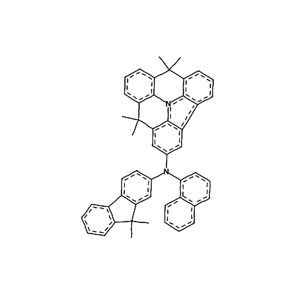 CC1(C)c2ccccc2-c2ccc(N(c3cc4c5c(c3)c3cccc6c3n5-c3c(cccc3C4(C)C)C6(C)C)c3cccc4ccccc34)cc21